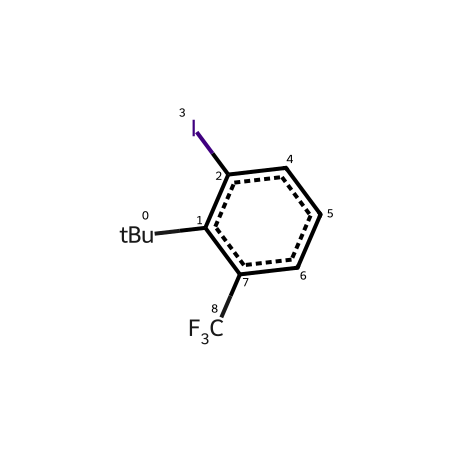 CC(C)(C)c1c(I)cccc1C(F)(F)F